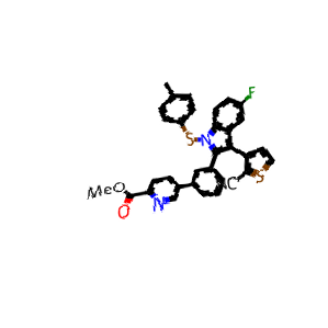 COC(=O)c1ccc(-c2cccc(-c3c(-c4ccsc4C#N)c4cc(F)ccc4n3Sc3ccc(C)cc3)c2)cn1